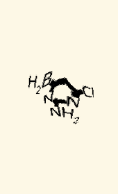 Bc1cc(Cl)nc(N)n1